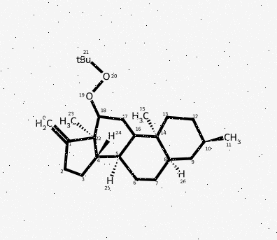 C=C1CC[C@H]2[C@@H]3CC[C@@H]4C[C@H](C)CC[C@]4(C)C3CC(OOC(C)(C)C)[C@]12C